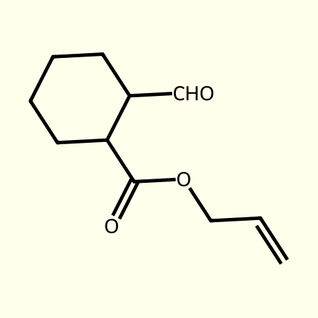 C=CCOC(=O)C1CCCCC1C=O